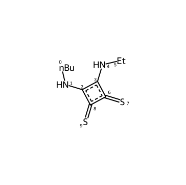 CCCCNc1c(NCC)c(=S)c1=S